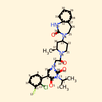 CC(C)n1c(=O)c(-c2cccc(F)c2Cl)cn(CC(=O)N2CCC(N3CCc4ccccc4NC3=O)C[C@@H]2C)c1=O